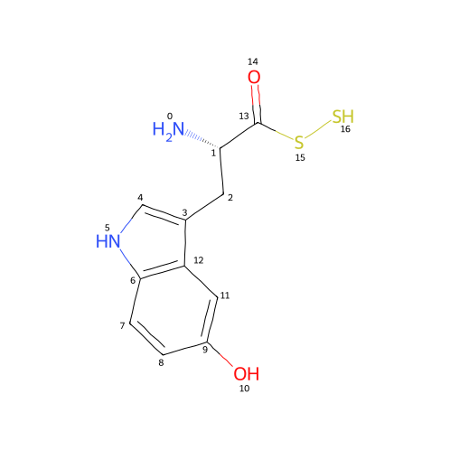 N[C@@H](Cc1c[nH]c2ccc(O)cc12)C(=O)SS